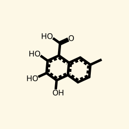 Cc1ccc2c(O)c(O)c(O)c(C(=O)O)c2c1